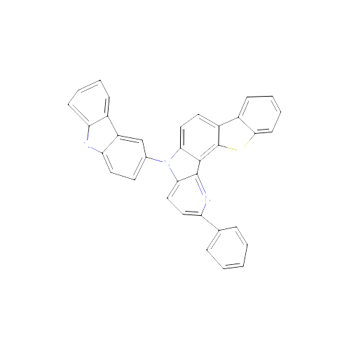 c1ccc(-c2ccc3c(n2)c2c4sc5ccccc5c4ccc2n3-c2ccc3[nH]c4ccccc4c3c2)cc1